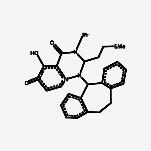 CSCCC1N(C(C)C)C(=O)c2c(O)c(=O)ccn2N1C1c2ccccc2CCc2ccccc21